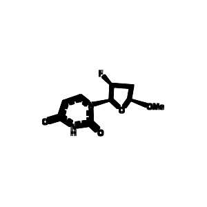 CO[C@@H]1C[C@H](F)[C@H](n2ccc(=O)[nH]c2=O)O1